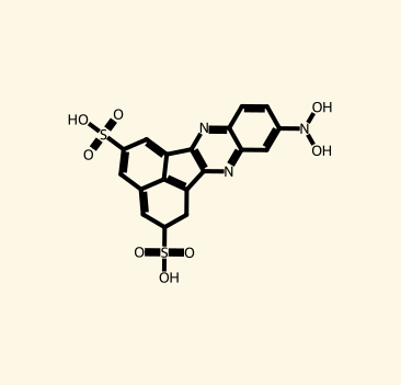 O=S(=O)(O)c1cc2c3c(c1)=CC(S(=O)(=O)O)CC=3c1nc3cc(N(O)O)ccc3nc1-2